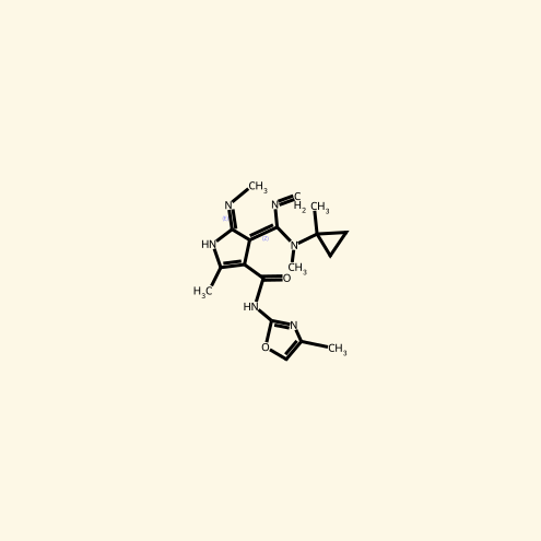 C=N/C(=C1/C(C(=O)Nc2nc(C)co2)=C(C)N/C1=N/C)N(C)C1(C)CC1